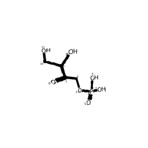 O=C(COP(=O)(O)O)C(O)CO